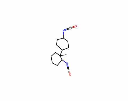 CC1(C2CCC(N=C=O)CC2)CCCCC1N=C=O